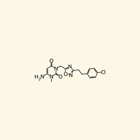 Cn1c(N)cc(=O)n(Cc2nc(CCc3ccc(Cl)cc3)no2)c1=O